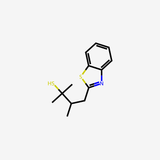 CC(Cc1nc2ccccc2s1)C(C)(C)S